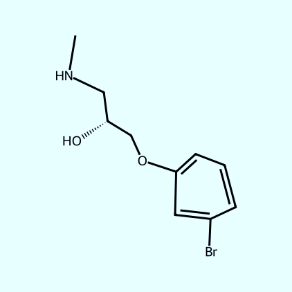 CNC[C@@H](O)COc1cccc(Br)c1